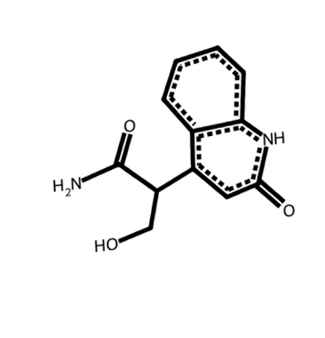 NC(=O)C(CO)c1cc(=O)[nH]c2ccccc12